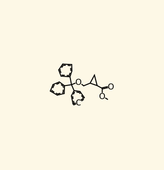 COC(=O)C1CC1COC(c1ccccc1)(c1ccccc1)c1ccccc1